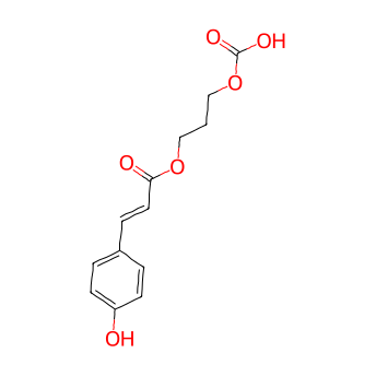 O=C(O)OCCCOC(=O)/C=C/c1ccc(O)cc1